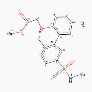 CCC(C)NS(=O)(=O)c1ccc(C)c(-c2cc(Cl)ccc2OCC(=O)OC(C)(C)C)c1